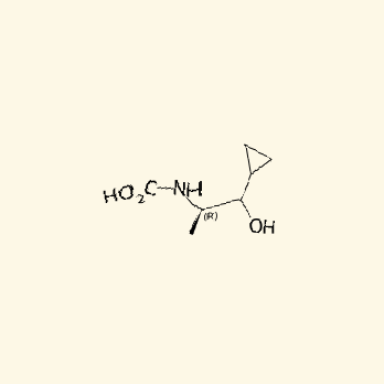 C[C@@H](NC(=O)O)C(O)C1CC1